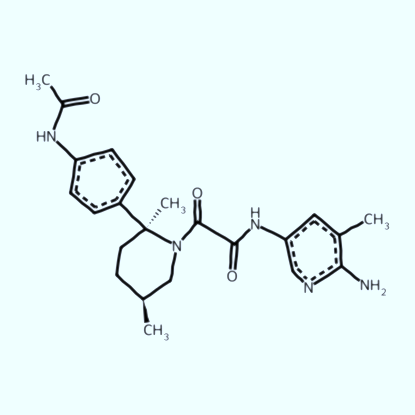 CC(=O)Nc1ccc([C@]2(C)CC[C@H](C)CN2C(=O)C(=O)Nc2cnc(N)c(C)c2)cc1